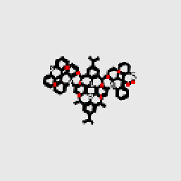 CC(C)c1cc(C(C)C)c(B2c3ccc(N4c5ccccc5C5(c6ccccc6Sc6ccccc65)c5ccccc54)cc3B(c3c(C(C)C)cc(C(C)C)cc3C(C)C)c3cc(N4c5ccccc5C5(c6ccccc6Sc6ccccc65)c5ccccc54)ccc32)c(C(C)C)c1